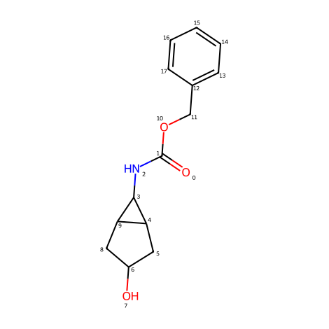 O=C(NC1C2CC(O)CC21)OCc1ccccc1